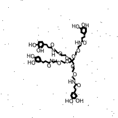 O=C(CCc1ccc(O)c(O)c1)NCCOCCOCC(COCCOCCNC(=O)CCc1ccc(O)c(O)c1)(COCCOCCNC(=O)CCc1ccc(O)c(O)c1)COCCOCCNC(=O)CCc1ccc(O)c(O)c1